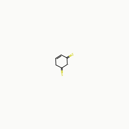 S=C1[CH]C(=S)CC=C1